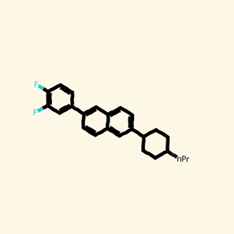 CCCC1CCC(c2ccc3cc(-c4ccc(F)c(F)c4)ccc3c2)CC1